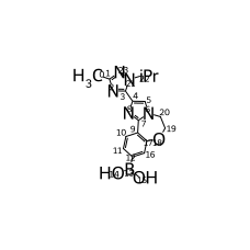 Cc1nc(-c2cn3c(n2)-c2ccc(B(O)O)cc2OCC3)n(C(C)C)n1